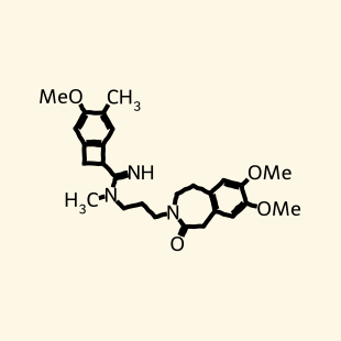 COc1cc2c(cc1C)C(C(=N)N(C)CCCN1CCc3cc(OC)c(OC)cc3CC1=O)C2